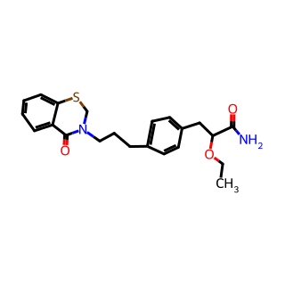 CCOC(Cc1ccc(CCCN2CSc3ccccc3C2=O)cc1)C(N)=O